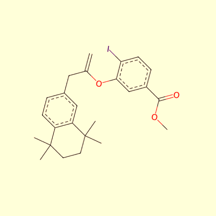 C=C(Cc1ccc2c(c1)C(C)(C)CCC2(C)C)Oc1cc(C(=O)OC)ccc1I